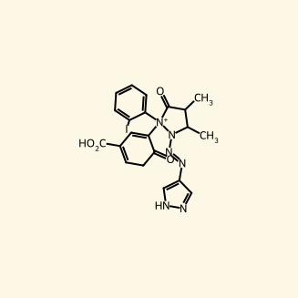 CC1C(=O)[N+](C2=CC(C(=O)O)=CCC2=O)(c2ccccc2I)N(N=Nc2cn[nH]c2)C1C